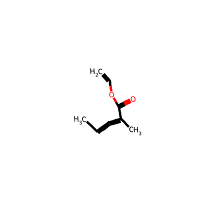 C=COC(=O)C(C)=C=CC